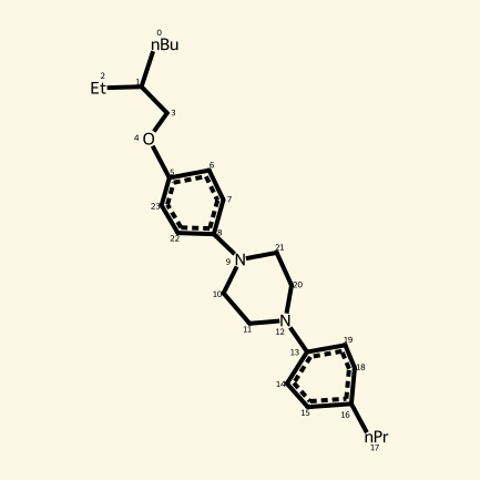 CCCCC(CC)COc1ccc(N2CCN(c3ccc(CCC)cc3)CC2)cc1